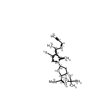 BC(C)(C)O[C@H]1C[C@H](n2cc(F)/c(=C(C)/N=C\C#C)c2=C)O[C@@H]1C(=O)NC